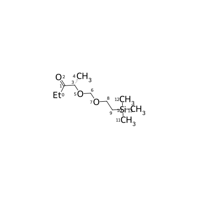 CCC(=O)[C@H](C)OCOCC[Si](C)(C)C